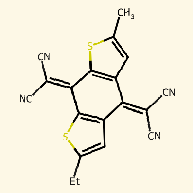 CCc1cc2c(=C(C#N)C#N)c3cc(C)sc3c(=C(C#N)C#N)c2s1